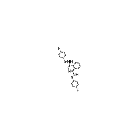 Fc1ccc(SNc2cnc(NSc3ccc(F)cc3)c3ccccc23)cc1